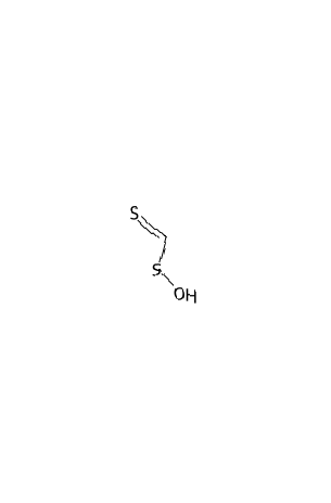 OSC=S